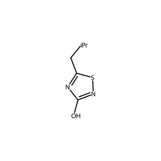 CC(C)Cc1nc(O)ns1